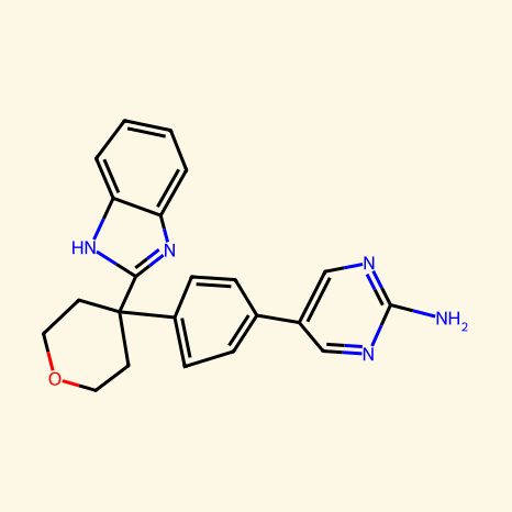 Nc1ncc(-c2ccc(C3(c4nc5ccccc5[nH]4)CCOCC3)cc2)cn1